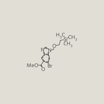 COC(=O)c1cc2ncn(COCC[Si](C)(C)C)c2cc1Br